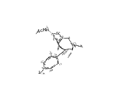 CC(=O)Nc1cc2c(s1)CN(C)CC2c1ccc(Br)cc1